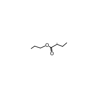 CC[C]C(=O)OCCC